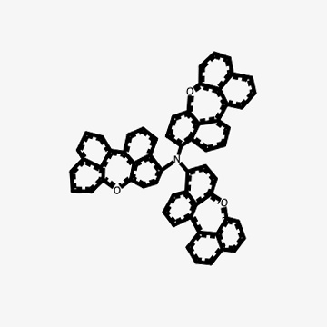 c1cc2cccc3c4cccc5c(N(c6ccc7oc8cccc9cccc(c%10cccc6c7%10)c98)c6ccc7oc8cccc9cccc(c%10cccc6c7%10)c98)ccc(oc(c1)c23)c54